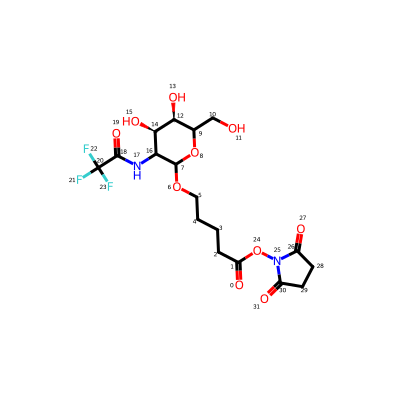 O=C(CCCCOC1OC(CO)[C@H](O)[C@H](O)C1NC(=O)C(F)(F)F)ON1C(=O)CCC1=O